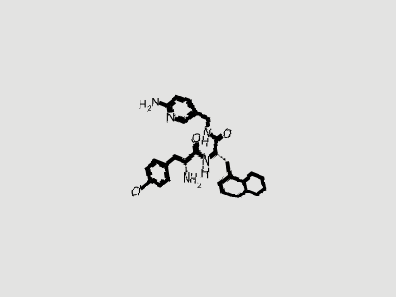 Nc1ccc(CNC(=O)[C@H](CC2CCCC3CCCCC32)NC(=O)[C@H](N)Cc2ccc(Cl)cc2)cn1